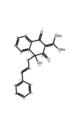 CSC(SC)=C1C(=O)c2ccccc2C(O)(C/C=C/c2ccccc2)C1=O